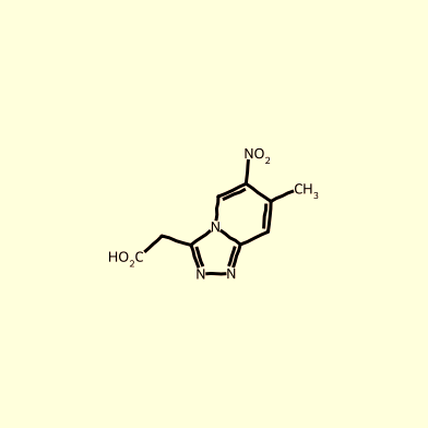 Cc1cc2nnc(CC(=O)O)n2cc1[N+](=O)[O-]